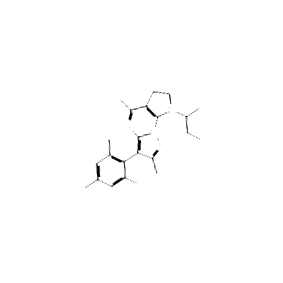 CCC(C)N1CCc2c(C)nc3c(-c4c(C)cc(C)cc4Br)c(C)nn3c21